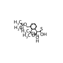 C[SiH](C)OCc1cccc(C(C(=O)O)C(O)=S)c1C(C)(C)C